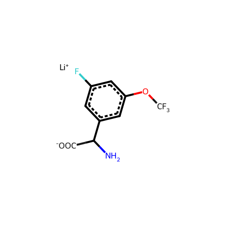 NC(C(=O)[O-])c1cc(F)cc(OC(F)(F)F)c1.[Li+]